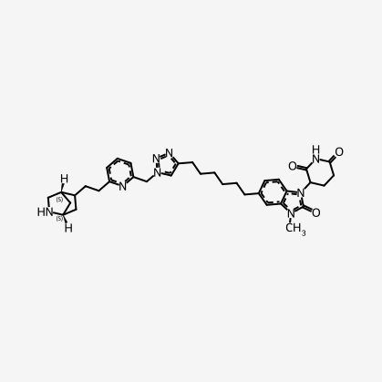 Cn1c(=O)n(C2CCC(=O)NC2=O)c2ccc(CCCCCCc3cn(Cc4cccc(CCC5C[C@H]6C[C@@H]5CN6)n4)nn3)cc21